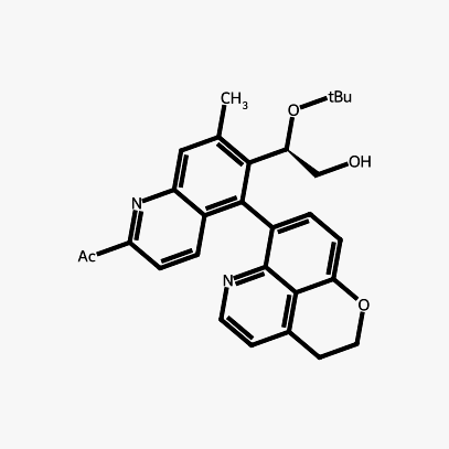 CC(=O)c1ccc2c(-c3ccc4c5c(ccnc35)CCO4)c([C@H](CO)OC(C)(C)C)c(C)cc2n1